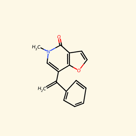 C=C(c1ccccc1)c1cn(C)c(=O)c2ccoc12